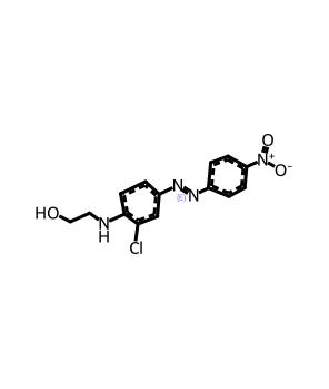 O=[N+]([O-])c1ccc(/N=N/c2ccc(NCCO)c(Cl)c2)cc1